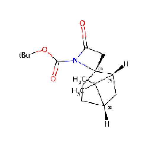 CC(C)(C)OC(=O)N1C(=O)C[C@@]12CC[C@H]1C[C@@H]2C1(C)C